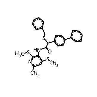 CSc1cc(C)nc(SC)c1NC(=O)C(SCc1ccccc1)c1ccc(-c2ccccc2)cc1